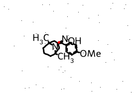 COc1ccc(CN2C3(C)CCCC2(C)CC(=NO)C3)cc1